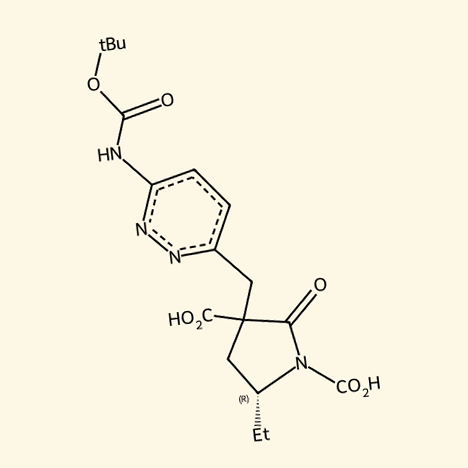 CC[C@@H]1CC(Cc2ccc(NC(=O)OC(C)(C)C)nn2)(C(=O)O)C(=O)N1C(=O)O